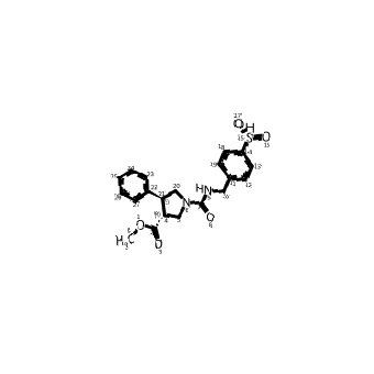 COC(=O)[C@H]1CN(C(=O)NCc2ccc([SH](=O)=O)cc2)C[C@@H]1c1ccccc1